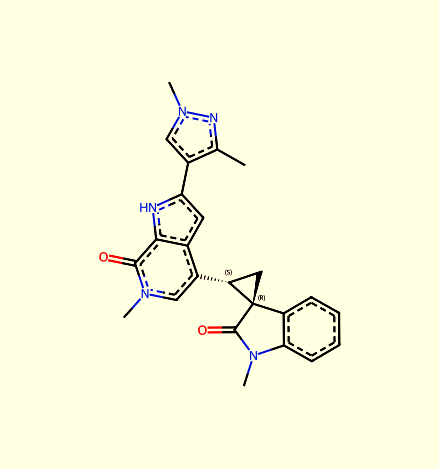 Cc1nn(C)cc1-c1cc2c([C@@H]3C[C@@]34C(=O)N(C)c3ccccc34)cn(C)c(=O)c2[nH]1